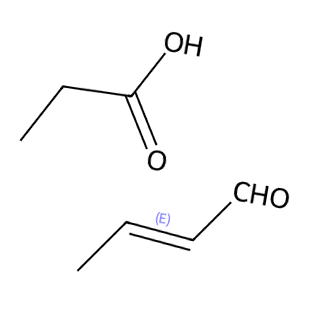 C/C=C/C=O.CCC(=O)O